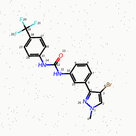 Cn1cc(Br)c(-c2cccc(NC(=O)Nc3ccc(C(F)(F)F)cc3)c2)n1